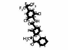 CN(C(=O)c1ccccc1)c1cccc(C(=O)Nc2c(Cl)cc(C(F)(C(F)(F)F)C(F)(F)F)cc2Cl)c1F